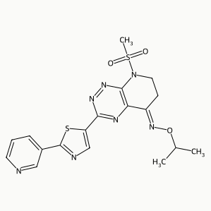 CC(C)O/N=C1\CCN(S(C)(=O)=O)c2nnc(-c3cnc(-c4cccnc4)s3)nc21